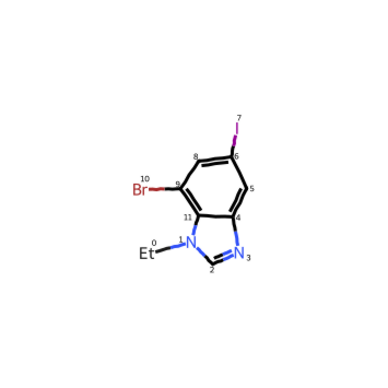 CCn1cnc2cc(I)cc(Br)c21